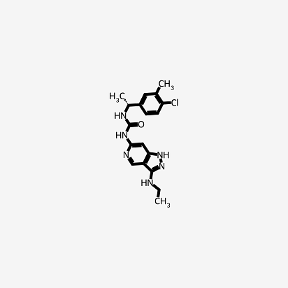 CCNc1n[nH]c2cc(NC(=O)N[C@H](C)c3ccc(Cl)c(C)c3)ncc12